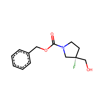 O=C(OCc1ccccc1)N1CC[C@@](F)(CO)C1